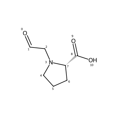 O=CCN1CCC[C@H]1C(=O)O